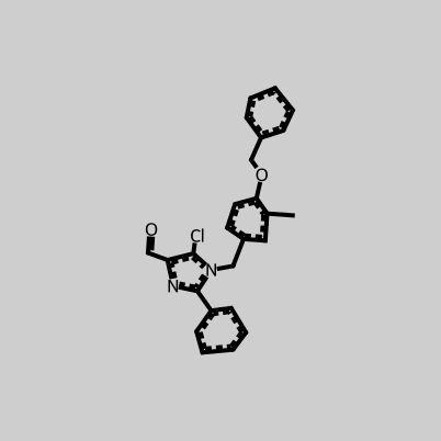 Cc1cc(Cn2c(-c3ccccc3)nc(C=O)c2Cl)ccc1OCc1ccccc1